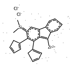 C[Si](C)=c1cc2c(c(C3=CC=CC3)c1C1=CC=CC1)=[C]([Zr+2])c1ccccc1-2.[Cl-].[Cl-]